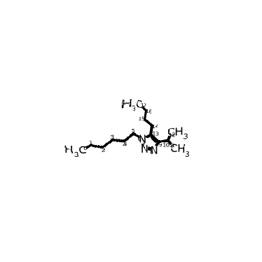 CCCCCCn1nnc(C(C)C)c1CCCC